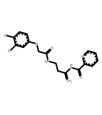 C=C(CCNC(=O)COc1ccc(Cl)c(Cl)c1)NC(=O)c1ccccn1